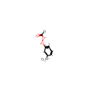 CCC(=O)OOc1cccc([N+](=O)[O-])c1